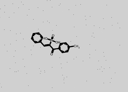 Cc1ccc(C(=O)C(=Cc2ccccc2)P(=O)(O)O)cc1